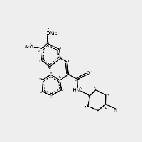 COc1cc(C=C(C(=O)NC2CCC(C)CC2)c2ccccc2)ccc1OC(C)=O